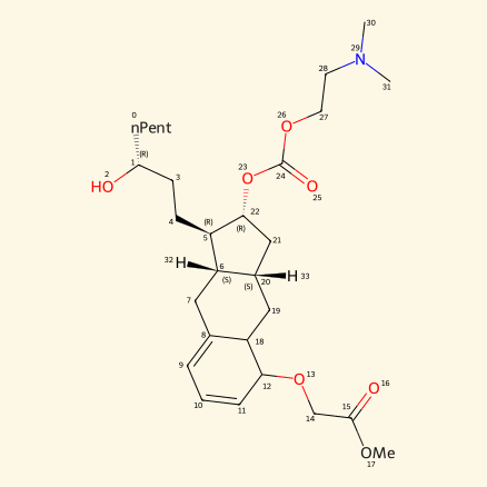 CCCCC[C@@H](O)CC[C@@H]1[C@H]2CC3=CC=CC(OCC(=O)OC)C3C[C@H]2C[C@H]1OC(=O)OCCN(C)C